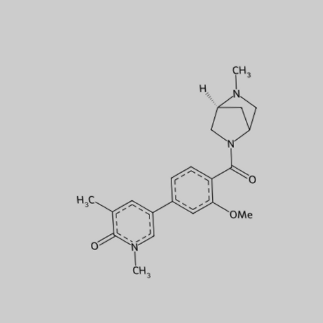 COc1cc(-c2cc(C)c(=O)n(C)c2)ccc1C(=O)N1C[C@@H]2CC1CN2C